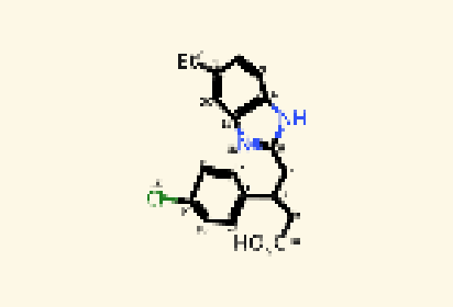 CCc1ccc2[nH]c(CC(CC(=O)O)c3ccc(Cl)cc3)nc2c1